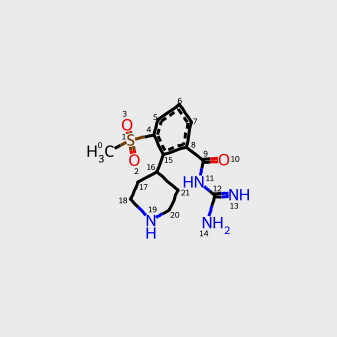 CS(=O)(=O)c1cccc(C(=O)NC(=N)N)c1C1CCNCC1